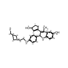 CC1=C(C2=CC(O)CC2)C(c2ccc(OCCN3CC(CF)C3)cc2)Oc2ccc(O)cc21